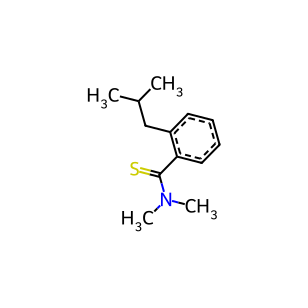 CC(C)Cc1ccccc1C(=S)N(C)C